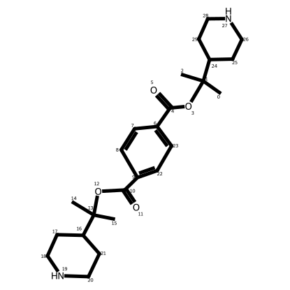 CC(C)(OC(=O)c1ccc(C(=O)OC(C)(C)C2CCNCC2)cc1)C1CCNCC1